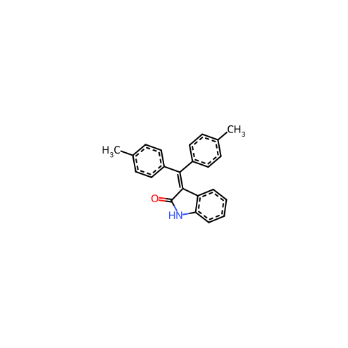 Cc1ccc(C(=C2C(=O)Nc3ccccc32)c2ccc(C)cc2)cc1